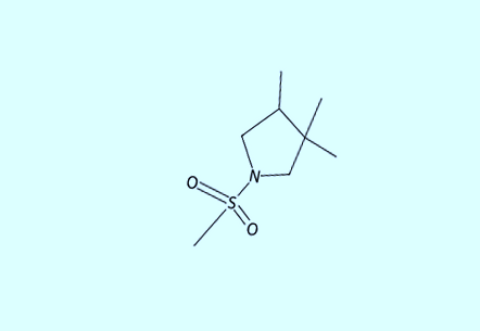 CC1CN(S(C)(=O)=O)CC1(C)C